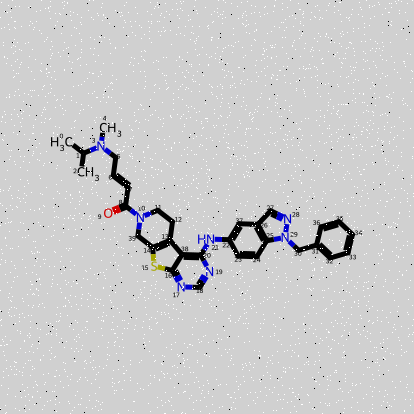 CC(C)N(C)CC=CC(=O)N1CCc2c(sc3ncnc(Nc4ccc5c(cnn5Cc5ccccc5)c4)c23)C1